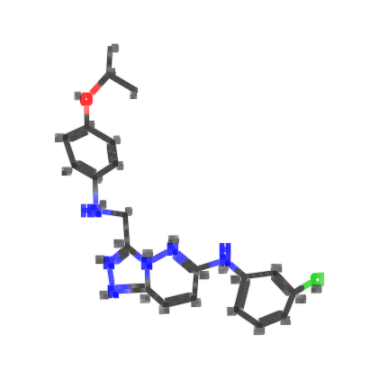 CC(C)Oc1ccc(NCc2nnc3ccc(Nc4cccc(Cl)c4)nn23)cc1